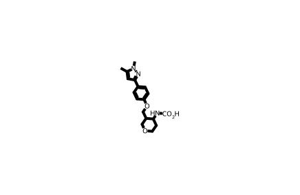 Cc1cc(-c2ccc(OCC3COCCC3NC(=O)O)cc2)nn1C